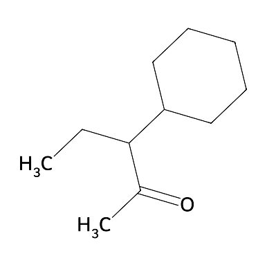 CCC(C(C)=O)C1CCCCC1